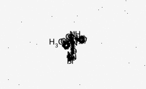 COc1ccccc1Oc1c(OCCOc2ncc(Br)cn2)nc(N2CCOCC2)nc1C(N)=O